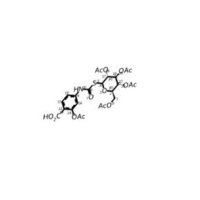 CC(=O)OC[C@H]1OC(SC(=O)Nc2ccc(C(=O)O)c(OC(C)=O)c2)[C@H](OC(C)=O)[C@@H](OC(C)=O)[C@@H]1OC(C)=O